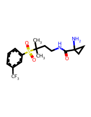 CC(C)(CCNC(=O)C1(N)CC1)S(=O)(=O)c1cccc(C(F)(F)F)c1